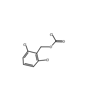 O=C(Cl)OCc1c(Cl)cccc1Cl